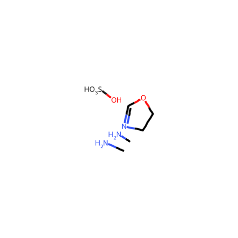 C1=NCCO1.CN.CN.O=S(=O)(O)O